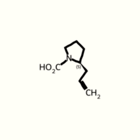 C=CC[C@@H]1CCCN1C(=O)O